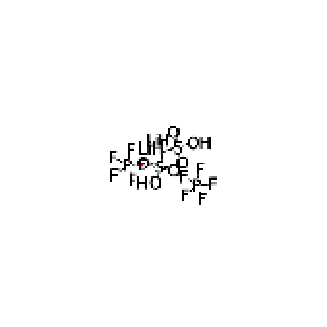 FP(F)(F)(F)F.FP(F)(F)(F)F.O=S(=O)(O)CS(=O)(=O)O.[LiH].[LiH]